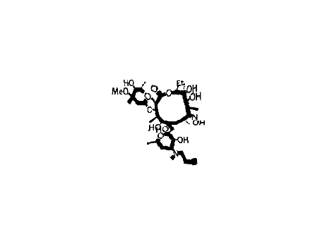 C#CCCN(C)[C@H]1C[C@@H](C)O[C@@H](C[C@@]2(O)C[C@@H](C)/C(=N\O)[C@H](C)[C@@H](O)[C@](C)(O)[C@@H](CC)OC(=O)[C@H](C)[C@@H](O[C@H]3C[C@@](C)(OC)[C@@H](O)[C@H](C)O3)[C@H](C)[C@H]2O)[C@@H]1O